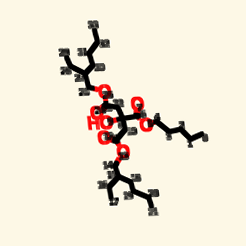 CCCCCOC(=O)C(O)(CC(=O)OCC(CC)CCCC)CC(=O)OCC(CC)CCCC